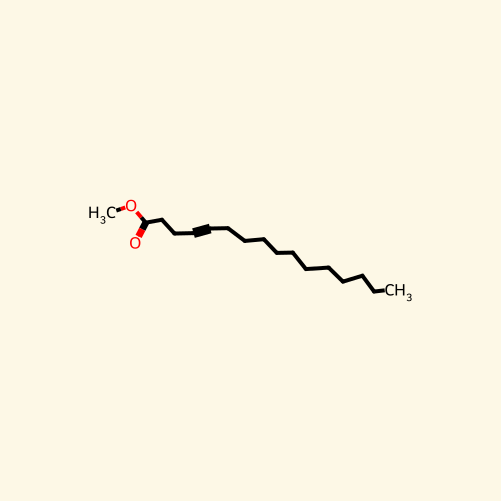 CCCCCCCCCCCC#CCCC(=O)OC